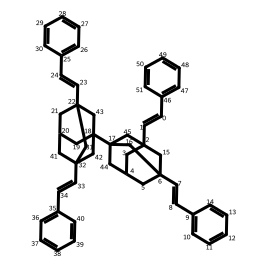 C(=C\C12CC3CC(/C=C/c4ccccc4)(C1)CC(C14CC5CC(/C=C/c6ccccc6)(CC(/C=C/c6ccccc6)(C5)C1)C4)(C3)C2)/c1ccccc1